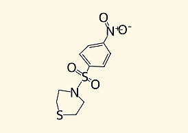 O=[N+]([O-])c1ccc(S(=O)(=O)N2CCSCC2)cc1